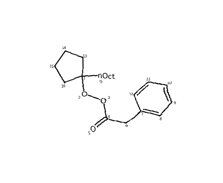 CCCCCCCCC1(OOC(=O)Cc2ccccc2)CCCC1